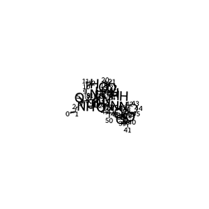 C=CCNC(=O)C(O)[C@H](CC1CC1)NC(=O)[C@@H]1[C@H]2OC(C)(C)O[C@H]2CN1C(=O)[C@@H](NC(=O)NC1(CS(=O)(=O)C(C)(C)C)CCCCC1)C(C)(C)C